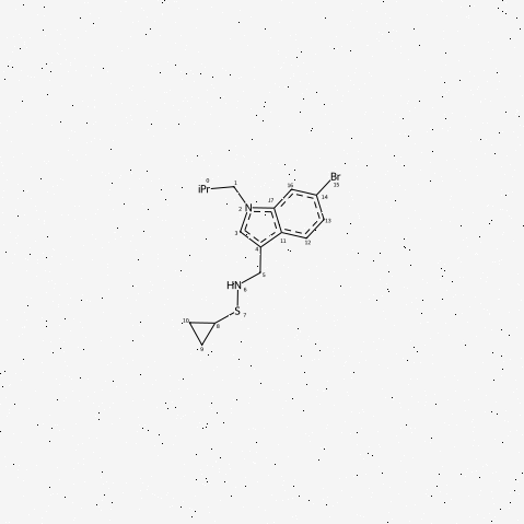 CC(C)Cn1cc(CNSC2CC2)c2ccc(Br)cc21